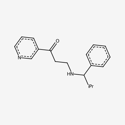 CC(C)C(NCCC(=O)c1cccnc1)c1ccccc1